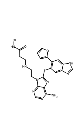 Nc1ncnc2c1nc(Sc1cc3nc[nH]c3cc1-c1ccco1)n2CCNCCC(=O)NO